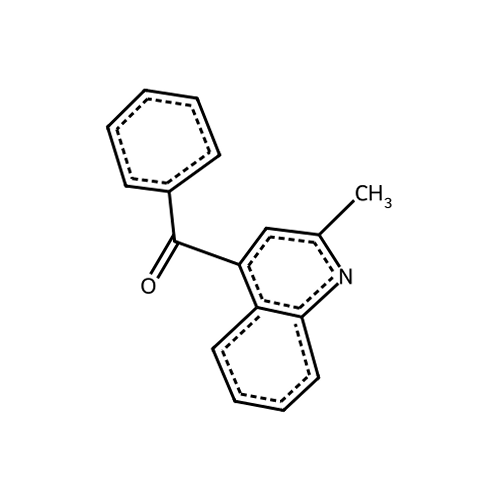 Cc1cc(C(=O)c2ccccc2)c2ccccc2n1